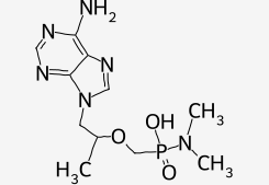 CC(Cn1cnc2c(N)ncnc21)OCP(=O)(O)N(C)C